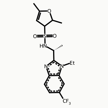 CCn1c([C@@H](C)NS(=O)(=O)C2C=C(C)OC2C)nc2ccc(C(F)(F)F)cc21